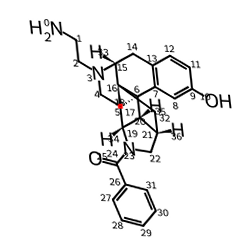 NCCN1CC[C@@]23c4cc(O)ccc4C[C@@H]1[C@]21CC[C@@H]2[C@H]3[C@@H](CN2C(=O)c2ccccc2)C1